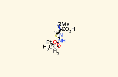 CCC(C)(C)OC(=O)Nc1nc(C(=NOC)C(=O)O)cs1